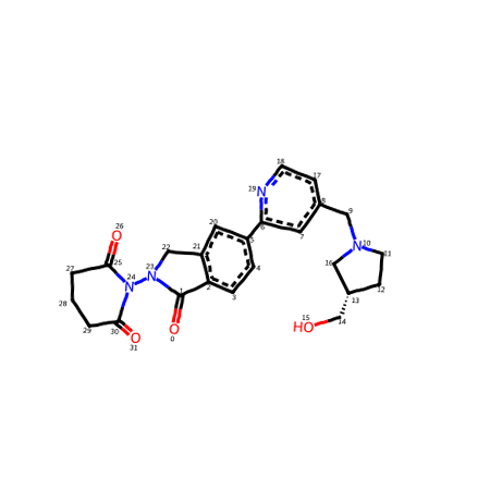 O=C1c2ccc(-c3cc(CN4CC[C@H](CO)C4)ccn3)cc2CN1N1C(=O)CCCC1=O